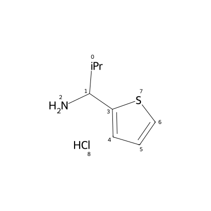 CC(C)C(N)c1cccs1.Cl